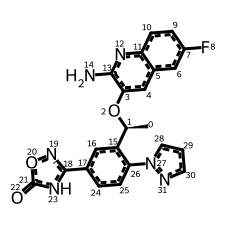 C[C@H](Oc1cc2cc(F)ccc2nc1N)c1cc(-c2noc(=O)[nH]2)ccc1-n1cccn1